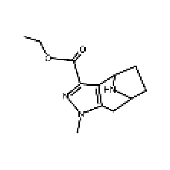 CCOC(=O)c1nn(C)c2c1C1CCC(C2)N1